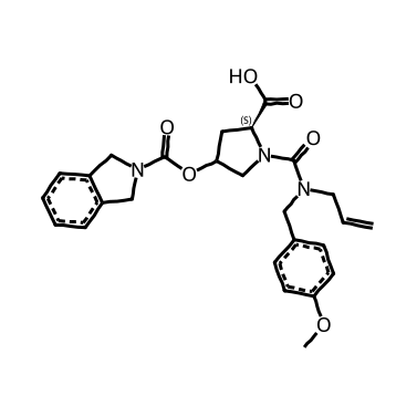 C=CCN(Cc1ccc(OC)cc1)C(=O)N1CC(OC(=O)N2Cc3ccccc3C2)C[C@H]1C(=O)O